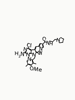 COc1c(C)cnc(CN2C(=O)C(=Cc3cc(C(=O)NCCCN4CCCC4)c[nH]3)c3c(Cl)nc(N)nc32)c1C